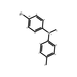 Cc1ccc(N(C)c2ccc(C(C)C)cc2)cc1